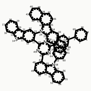 c1ccc(-c2ccc(-c3nc(-c4cc5sc6ccccc6c5cc4-n4c5cc6ccccc6cc5c5ccc6ccccc6c54)nc(-c4cccc5c6ccccc6n(-c6ccccc6)c45)n3)cc2)cc1